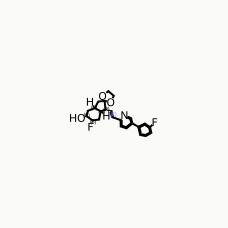 O[C@H]1C[C@@H]2CC3(OCCO3)[C@@H](/C=C/c3ccc(-c4cccc(F)c4)cn3)[C@@H]2C[C@@H]1F